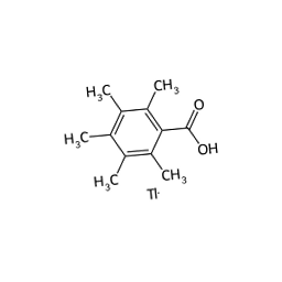 Cc1c(C)c(C)c(C(=O)O)c(C)c1C.[Tl]